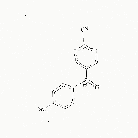 N#Cc1ccc([PH](=O)c2ccc(C#N)cc2)cc1